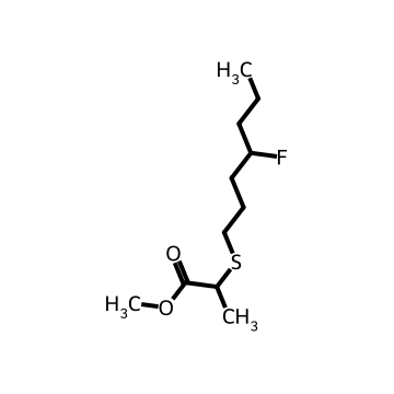 CCCC(F)CCCSC(C)C(=O)OC